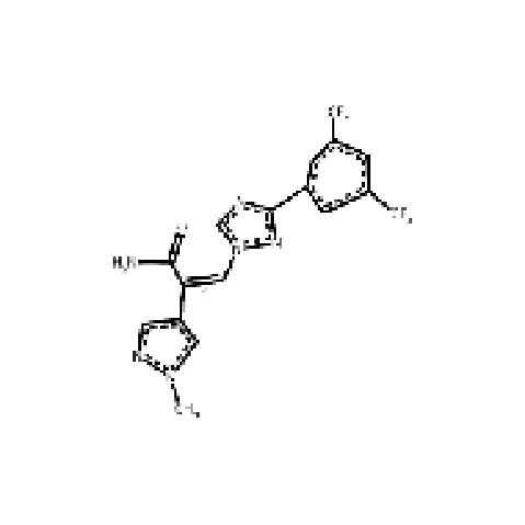 Cn1cc(/C(=C/n2cnc(-c3cc(C(F)(F)F)cc(C(F)(F)F)c3)n2)C(N)=O)cn1